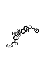 CC(=O)SCC(=O)c1ccc(NS(=O)(=O)c2ccc3nc(OCCN4CCCC4)ccc3c2)nc1